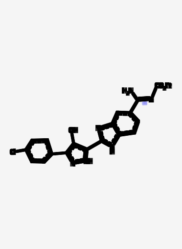 CCOC(=O)/N=C(\N)c1ccc2[nH]c(-c3[nH]nc(-c4ccc(Cl)cc4)c3O)nc2c1